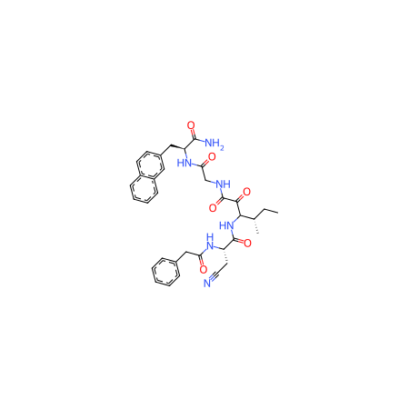 CC[C@H](C)C(NC(=O)[C@H](CC#N)NC(=O)Cc1ccccc1)C(=O)C(=O)NCC(=O)N[C@@H](Cc1ccc2ccccc2c1)C(N)=O